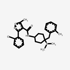 Cc1ccccc1CC1(N(C)C)CCC(NC(=O)c2c(-c3ccccc3Cl)noc2C)CC1